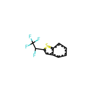 FC(c1cc2ccccc2s1)C(F)(F)F